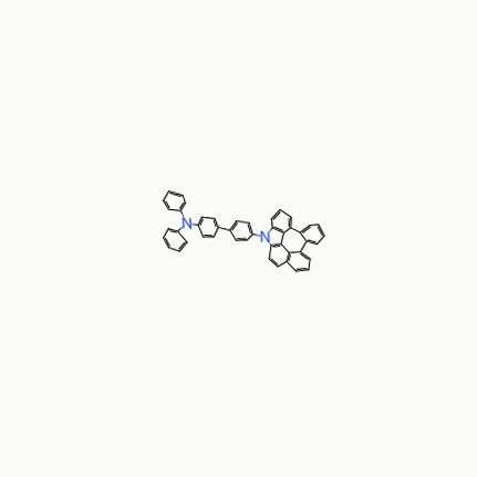 c1ccc(N(c2ccccc2)c2ccc(-c3ccc(-n4c5cccc6c5c5c7c(cccc7ccc54)-c4ccccc4-6)cc3)cc2)cc1